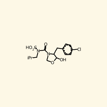 CC(C)CN(C(=O)O)C(=O)N1COC(O)C1Cc1ccc(Cl)cc1